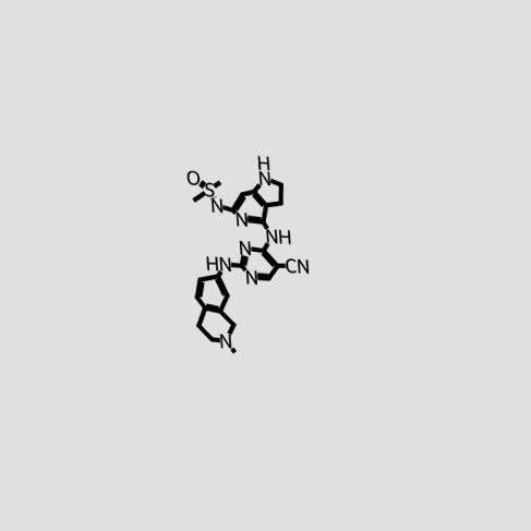 CN1CCc2ccc(Nc3ncc(C#N)c(Nc4nc(N=S(C)(C)=O)cc5c4CCN5)n3)cc2C1